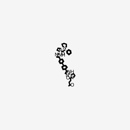 CC(=O)CCC(=O)N1CCC[C@H]1c1ncc(-c2ccc(-c3ccc(-c4cnc([C@@H]5CCCN5C(=O)[C@@H](c5ccccc5)N5CCCCC5)[nH]4)cc3)cc2)[nH]1